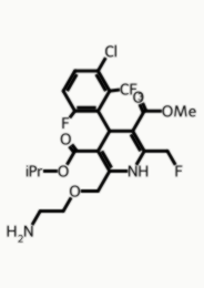 COC(=O)C1=C(CF)NC(COCCN)=C(C(=O)OC(C)C)C1c1c(F)ccc(Cl)c1C(F)(F)F